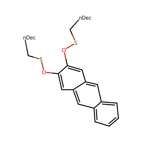 CCCCCCCCCCCSOc1cc2cc3ccccc3cc2cc1OSCCCCCCCCCCC